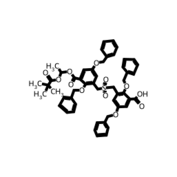 CC(OC(=O)c1cc(OCc2ccccc2)cc(CS(=O)(=O)Cc2cc(OCc3ccccc3)cc(C(=O)O)c2OCc2ccccc2)c1OCc1ccccc1)OC(=O)C(C)(C)C